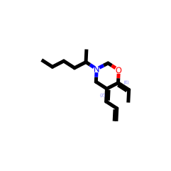 C=C/C=C1/CN(C(C)CCCC)CO/C1=C/C